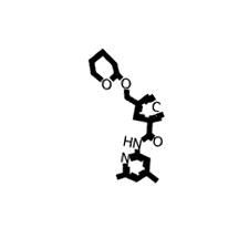 Cc1cc(C)nc(NC(=O)c2cccc(COC3CCCCO3)c2)c1